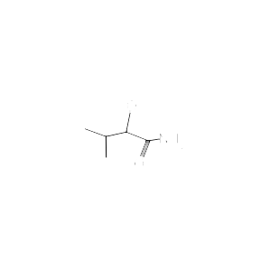 CC(C)C([O])C(N)=O